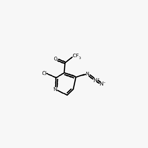 [N-]=[N+]=Nc1ccnc(Cl)c1C(=O)C(F)(F)F